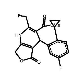 COC(=O)C1=C(CF)NC2=C(C(=O)OC2)C1c1cc(F)ccc1C1CC1